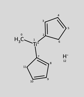 [CH3][Ti+]([C]1=CC=CC1)[C]1=CC=CC1.[H-]